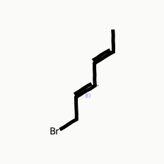 CC=C/[C]=C/CBr